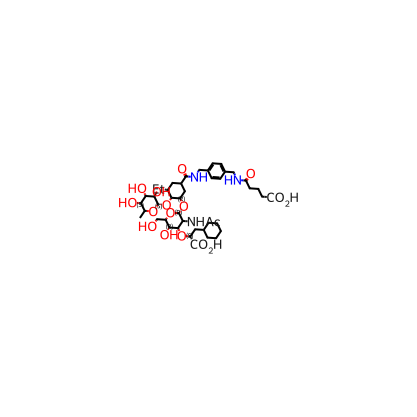 CCC1CC(C(=O)NCc2ccc(CNC(=O)CCCC(=O)O)cc2)C[C@@H](O[C@@H]2OC(CO)[C@H](O)C(O[C@@H](CC3CCCCC3)C(=O)O)C2NC(C)=O)C1O[C@@H]1OC(C)[C@@H](O)C(O)C1O